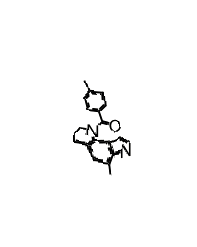 Cc1ccc(C(=O)N2CCC=c3cc(C)c4c(c32)C=CN=4)cc1